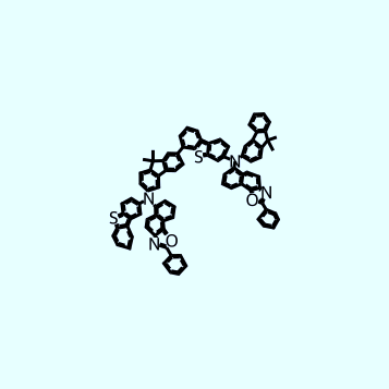 CC1(C)c2ccccc2-c2cc(N(c3ccc4c(c3)sc3c(-c5ccc6c(c5)C(C)(C)c5ccc(N(c7ccc8sc9ccccc9c8c7)c7cccc8c7ccc7nc(-c9ccccc9)oc78)cc5-6)cccc34)c3cccc4c3ccc3nc(-c5ccccc5)oc34)ccc21